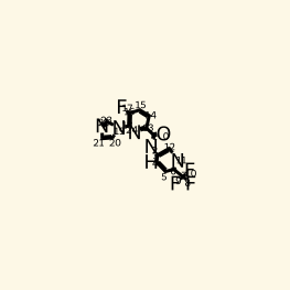 O=C(Nc1ccc(C(F)(F)F)nc1)c1ccc(F)c(-n2ccnc2)n1